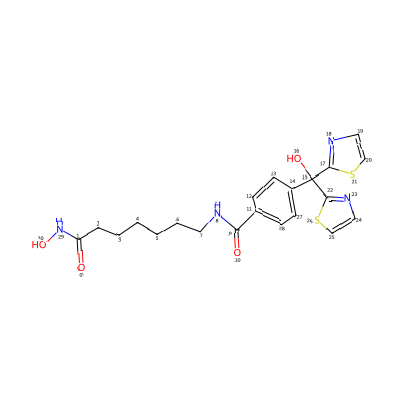 O=C(CCCCCCNC(=O)c1ccc(C(O)(c2nccs2)c2nccs2)cc1)NO